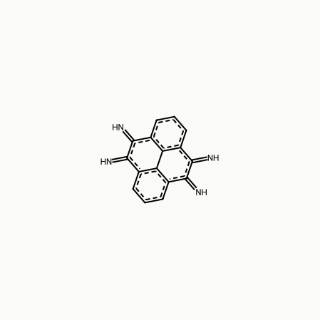 N=c1c(=N)c2cccc3c2-c2c1cccc2c(=N)c3=N